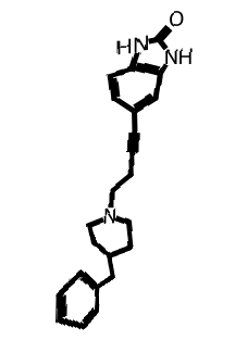 O=c1[nH]c2ccc(C#CCCN3CCC(Cc4ccccc4)CC3)cc2[nH]1